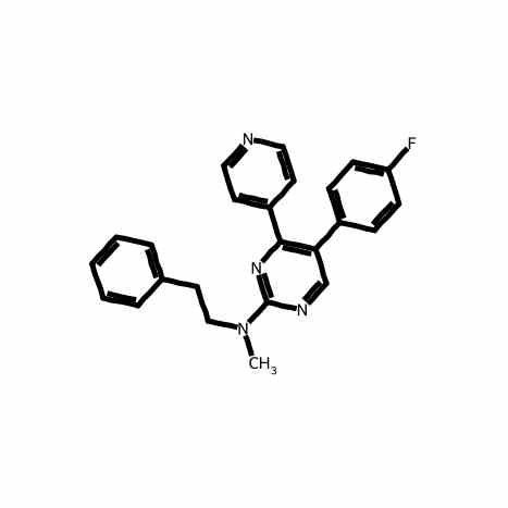 CN(CCc1ccccc1)c1ncc(-c2ccc(F)cc2)c(-c2ccncc2)n1